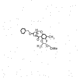 COCOCC(C)Oc1c(F)c(C)cc2c1C(=O)N1C[C@@H](OCc3ccccc3)C[C@@H]1CO2